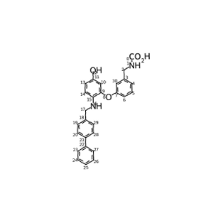 O=C(O)NCc1cccc(Oc2cc(O)ccc2NCc2ccc(-c3ccccc3)cc2)c1